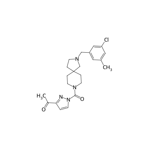 CC(=O)c1ccn(C(=O)N2CCC3(CCN(Cc4cc(C)cc(Cl)c4)C3)CC2)n1